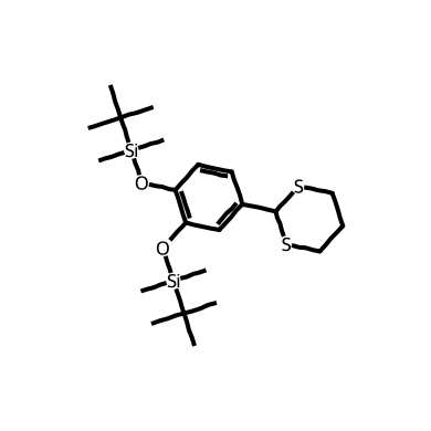 CC(C)(C)[Si](C)(C)Oc1ccc(C2SCCCS2)cc1O[Si](C)(C)C(C)(C)C